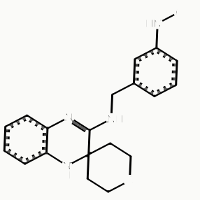 CNc1cccc(CNC2=Nc3ccccc3NC23CCOCC3)c1